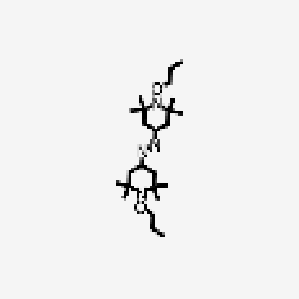 CCCON1C(C)(C)CC(N=NC2CC(C)(C)N(OCCC)C(C)(C)C2)CC1(C)C